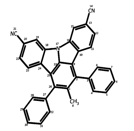 Cc1c(-c2ccccc2)c2c3ccc(C#N)cc3n3c4cc(C#N)ccc4c(c1-c1ccccc1)c23